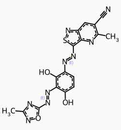 Cc1noc(/N=N/c2c(O)ccc(/N=N/c3snc4cc(C#N)c(C)nc34)c2O)n1